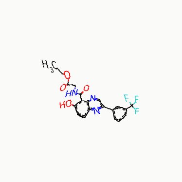 CCOC(=O)CNC(=O)c1c(O)ccc2nc(-c3cccc(C(F)(F)F)c3)cnc12